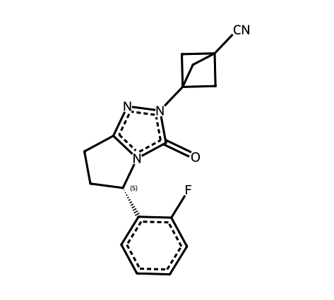 N#CC12CC(n3nc4n(c3=O)[C@H](c3ccccc3F)CC4)(C1)C2